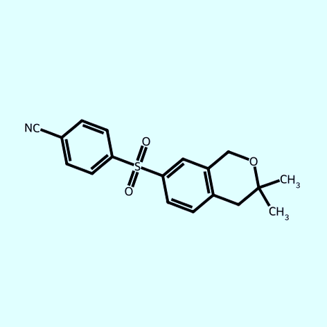 CC1(C)Cc2ccc(S(=O)(=O)c3ccc(C#N)cc3)cc2CO1